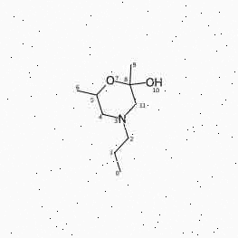 CCCN1CC(C)OC(C)(O)C1